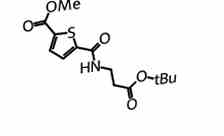 COC(=O)c1ccc(C(=O)NCCC(=O)OC(C)(C)C)s1